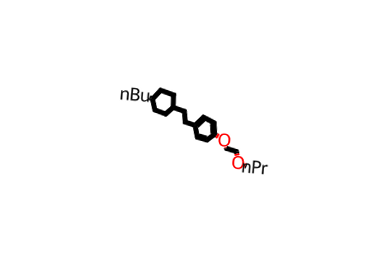 CCCCC1CCC(CCc2ccc(OCCOCCC)cc2)CC1